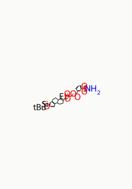 CCC1C2CCc3cc(O[Si](C)(C)C(C)(C)C)ccc3C2CC[C@]1(C)[C@H](C)OC(=O)COC(=O)c1cccc(S(N)(=O)=O)c1